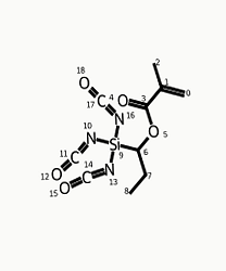 C=C(C)C(=O)OC(CC)[Si](N=C=O)(N=C=O)N=C=O